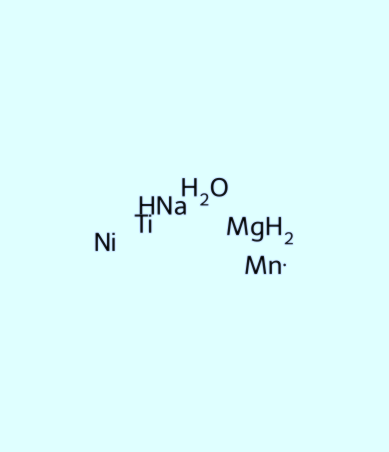 O.[MgH2].[Mn].[NaH].[Ni].[Ti]